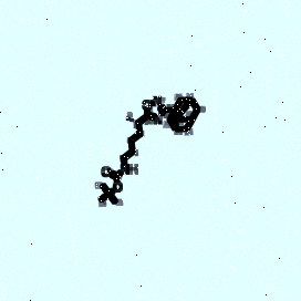 C[C@@H](CCCCNC(=O)OC(C)(C)C)c1nc(C23CC4CC(CC(C4)C2)C3)no1